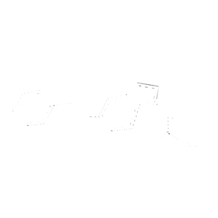 COC(=O)[C@@H](C)n1ccc2cc(OCc3ccccc3)ccc21